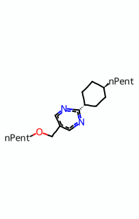 CCCCCOCc1cnc([C@H]2CC[C@H](CCCCC)CC2)nc1